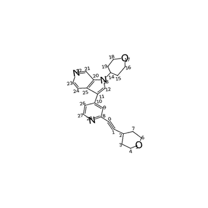 C(#CC1CCOCC1)c1cc(-c2cn(C3CCOCC3)c3cnccc23)ccn1